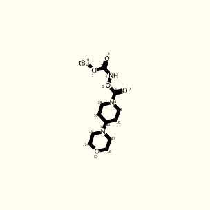 CC(C)(C)OC(=O)NOC(=O)N1CCC(N2CCOCC2)CC1